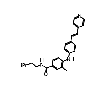 Cc1cc(C(=O)NCCC(C)C)ccc1Nc1ccc(/C=C/c2ccncc2)cc1